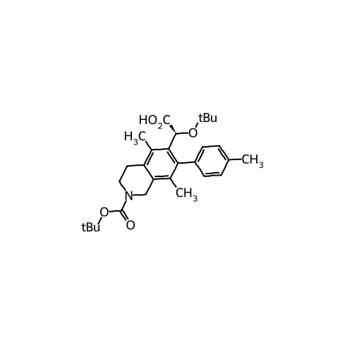 Cc1ccc(-c2c(C)c3c(c(C)c2[C@H](OC(C)(C)C)C(=O)O)CCN(C(=O)OC(C)(C)C)C3)cc1